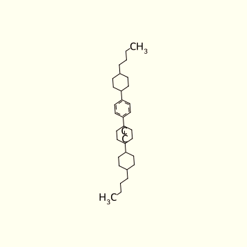 CCCCC1CCC(c2ccc(C34CCC(C5CCC(CCCC)CC5)(CC3)CC4)cc2)CC1